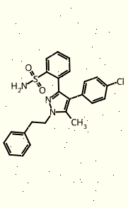 Cc1c(-c2ccc(Cl)cc2)c(-c2ccccc2S(N)(=O)=O)nn1CCc1ccccc1